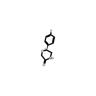 O=C1CO[C@@H](c2ccc(F)cc2)CN1